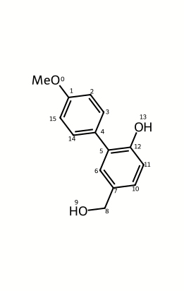 COc1ccc(-c2cc(CO)ccc2O)cc1